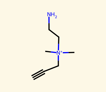 C#CC[N+](C)(C)CCN